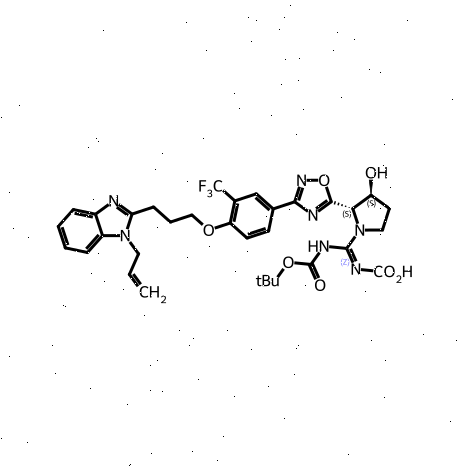 C=CCn1c(CCCOc2ccc(-c3noc([C@@H]4[C@@H](O)CCN4/C(=N\C(=O)O)NC(=O)OC(C)(C)C)n3)cc2C(F)(F)F)nc2ccccc21